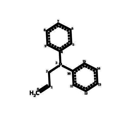 C=C[CH]P(c1ccccc1)c1ccccc1